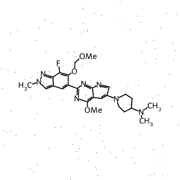 COCOc1c(-c2nc(OC)c3cc(N4CCC(N(C)C)CC4)cnc3n2)cc2cn(C)nc2c1F